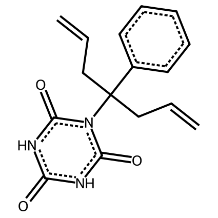 C=CCC(CC=C)(c1ccccc1)n1c(=O)[nH]c(=O)[nH]c1=O